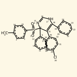 Cc1ccc(S(=O)(=O)C2(c3ccccc3)N=CNC(c3ccccc3)=C2c2ccc(Cl)cc2)cc1